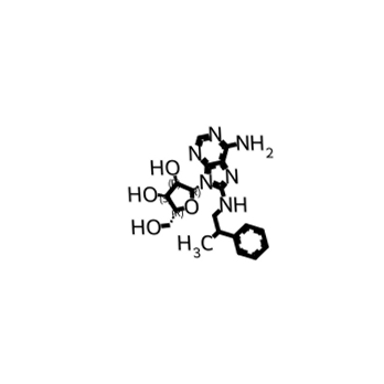 CC(CNc1nc2c(N)ncnc2n1[C@@H]1O[C@H](CO)[C@@H](O)[C@H]1O)c1ccccc1